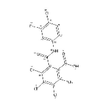 O=C(O)c1c(Cl)c(Cl)c(Cl)c(Cl)c1C(=O)Nc1ccc(Cl)c(Cl)c1